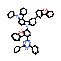 c1ccc(-c2nc(-c3ccccc3)nc(-c3ccc(-n4c5ccc(-c6ccc7oc8ccccc8c7c6)cc5c5c6c7ccccc7n(-c7ccccc7)c6ccc54)c4oc5ccccc5c34)n2)cc1